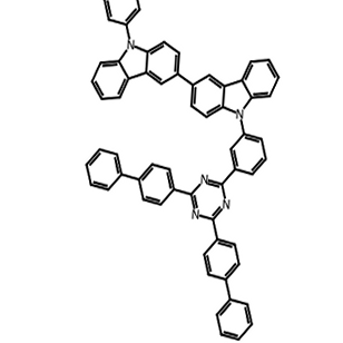 c1ccc(-c2ccc(-c3nc(-c4ccc(-c5ccccc5)cc4)nc(-c4cccc(-n5c6ccccc6c6cc(-c7ccc8c(c7)c7ccccc7n8-c7ccccc7)ccc65)c4)n3)cc2)cc1